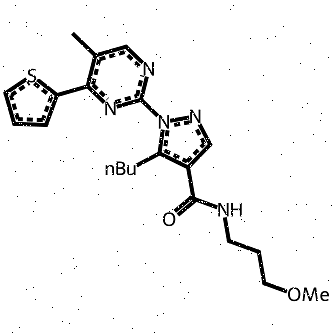 CCCCc1c(C(=O)NCCCOC)cnn1-c1ncc(C)c(-c2cccs2)n1